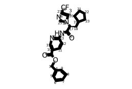 O=C(OCc1ccccc1)c1ccc(NC(=O)[C@H](CC2CCCC2)n2cnc(C(F)(F)F)c2)nc1